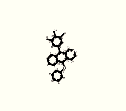 Cc1cc(-c2c3ccccc3c(Oc3ccccc3)c3ccncc23)cc(C)c1C